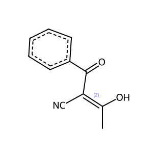 C/C(O)=C(\C#N)C(=O)c1ccccc1